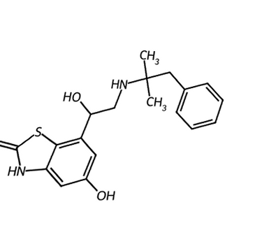 CC(C)(Cc1ccccc1)NCC(O)c1cc(O)cc2[nH]c(=O)sc12